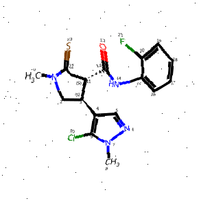 CN1C[C@H](c2cnn(C)c2Cl)[C@@H](C(=O)Nc2ccccc2F)C1=S